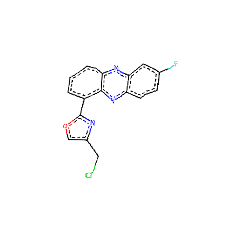 Fc1ccc2nc3c(-c4nc(CCl)co4)cccc3nc2c1